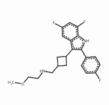 COCCNCC1CC(c2c(-c3ccc(F)cc3)[nH]c3c(F)cc(F)cc23)C1